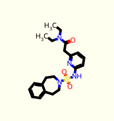 CCN(CC)C(=O)Cc1cccc(NS(=O)(=O)N2CCc3ccccc3CC2)n1